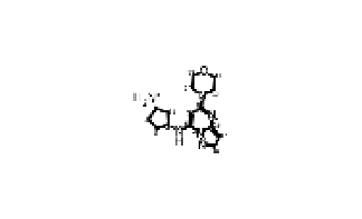 N[C@H]1CC[C@H](Nc2cc(N3CCOCC3)nc3ccnn23)C1